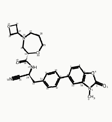 Cn1c(=O)oc2ccc(-c3ccc(C[C@@H](C#N)NC(=O)[C@@H]4CN(C5COC5)CCCO4)cc3)cc21